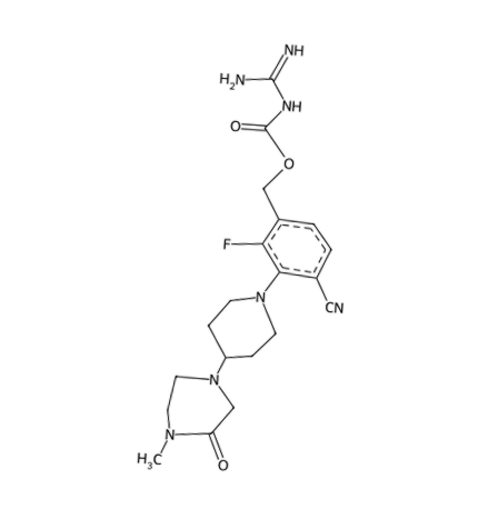 CN1CCN(C2CCN(c3c(C#N)ccc(COC(=O)NC(=N)N)c3F)CC2)CC1=O